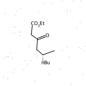 CCCC[C@@H](C)CC(=O)CC(=O)OCC